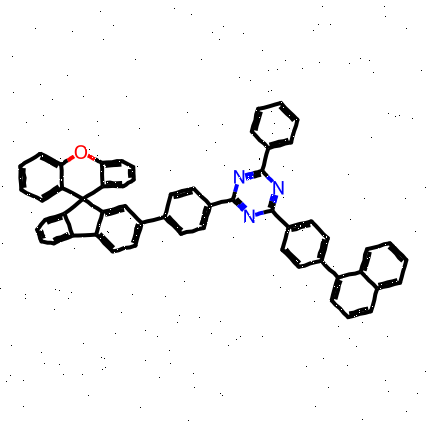 c1ccc(-c2nc(-c3ccc(-c4ccc5c(c4)C4(c6ccccc6Oc6ccccc64)c4ccccc4-5)cc3)nc(-c3ccc(-c4cccc5ccccc45)cc3)n2)cc1